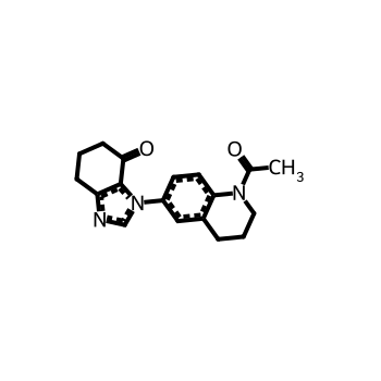 CC(=O)N1CCCc2cc(-n3cnc4c3C(=O)CCC4)ccc21